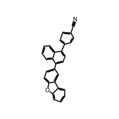 N#Cc1ccc(-c2ccc(-c3ccc4oc5ccccc5c4c3)c3ccccc23)cc1